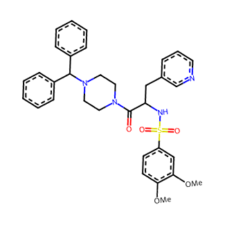 COc1ccc(S(=O)(=O)NC(Cc2cccnc2)C(=O)N2CCN(C(c3ccccc3)c3ccccc3)CC2)cc1OC